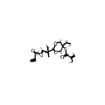 C=CC(=O)OCC(C)(C)C1OCC(CC)(OC(=O)C(=C)C)CO1